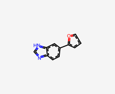 c1coc(-c2ccc3nc[nH]c3c2)c1